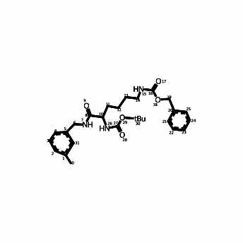 Cc1cccc(CNC(=O)C(CCCCNC(=O)OCc2ccccc2)NC(=O)OC(C)(C)C)c1